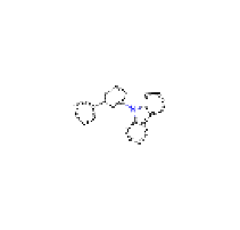 C1=CC(n2c3ccccc3c3ccccc32)=CC(c2ccccc2)C1